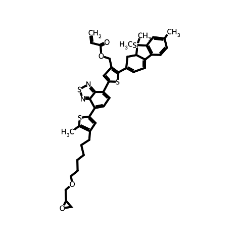 C=CC(=O)OCc1cc(-c2ccc(-c3cc(CCCCCCOCC4CO4)c(C)s3)c3nsnc23)sc1C1=CC=C2c3ccc(C)cc3[Si](C)(C)C2C1